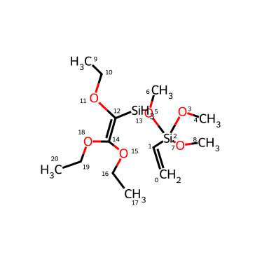 C=C[Si](OC)(OC)OC.CCOC([SiH3])=C(OCC)OCC